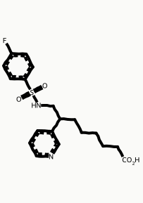 O=C(O)CCCCCC(CNS(=O)(=O)c1ccc(F)cc1)c1cccnc1